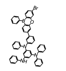 Brc1ccc2c(c1)Oc1cc(-c3cccc(N(c4ccccc4)c4cc(Nc5ccccc5)cc(N(c5ccccc5)c5ccccc5)c4)c3)ccc1B2c1ccccc1